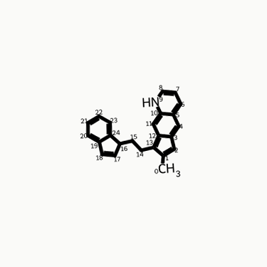 Cc1cc2cc3ccc[nH]c3cc2c1CCC1C=Cc2ccccc21